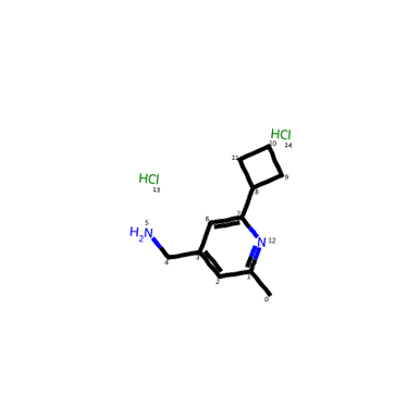 Cc1cc(CN)cc(C2CCC2)n1.Cl.Cl